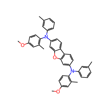 COc1ccc(N(c2cccc(C)c2)c2ccc3c(c2)oc2cc(N(c4cccc(C)c4)c4ccc(OC)cc4C)ccc23)c(C)c1